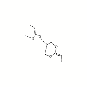 CC=C(OC)OCC1COC(=CC)OC1